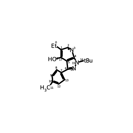 CCc1cnc2c(c(-c3ccc(C)cc3)nn2C(C)(C)C)c1O